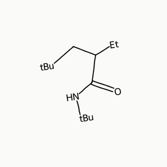 CCC(CC(C)(C)C)C(=O)NC(C)(C)C